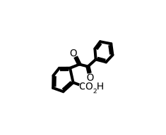 O=C(C(=O)c1ccccc1C(=O)O)c1ccccc1